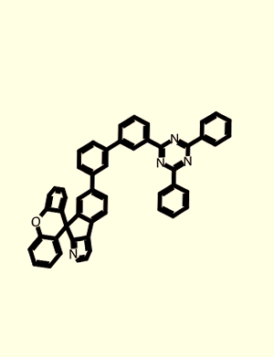 c1ccc(-c2nc(-c3ccccc3)nc(-c3cccc(-c4cccc(-c5ccc6c(c5)C5(c7ccccc7Oc7ccccc75)c5ncccc5-6)c4)c3)n2)cc1